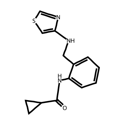 O=C(Nc1ccccc1CNc1cscn1)C1CC1